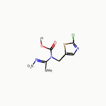 CN/C(=N\[N+](=O)[O-])N(Cc1cnc(Cl)s1)C(=O)OC(C)C